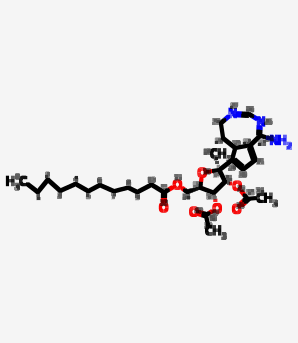 CCCCCCCCCCCC(=O)OC[C@H]1O[C@@](C)(C2=CC=C3/C(N)=N\C=N/CCC32)[C@H](OC(C)=O)[C@@H]1OC(C)=O